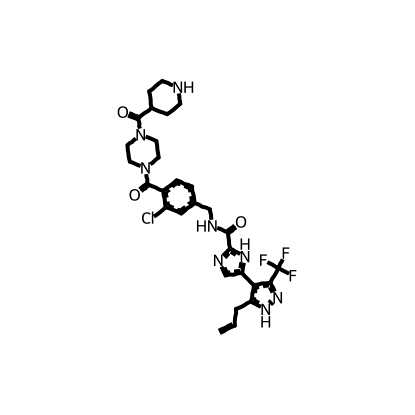 C=CCc1[nH]nc(C(F)(F)F)c1-c1cnc(C(=O)NCc2ccc(C(=O)N3CCN(C(=O)C4CCNCC4)CC3)c(Cl)c2)[nH]1